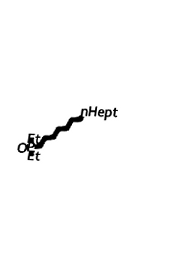 CCCCCCCCCCCCCCP(=O)(CC)CC